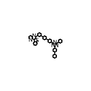 c1ccc(-c2ccc(-c3nc(-c4ccccc4)nc(-c4ccc(-c5ccc(-c6cccc(-c7nc8cccnc8c8c7sc7ccccc78)c6)cc5)cc4)n3)cc2)cc1